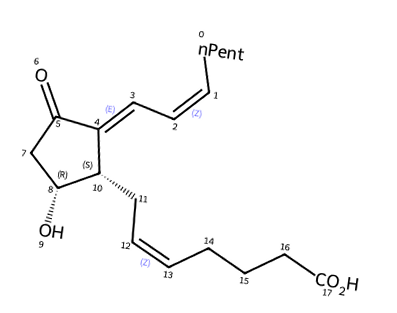 CCCCC/C=C\C=C1\C(=O)C[C@@H](O)[C@H]1C/C=C\CCCC(=O)O